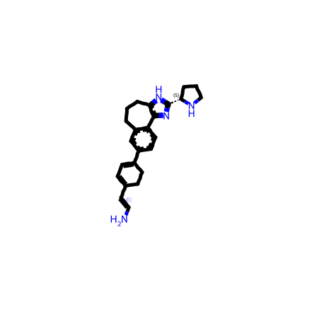 N/C=C/C1=CC=C(c2ccc3c(c2)CCCc2[nH]c([C@@H]4CCCN4)nc2-3)CC1